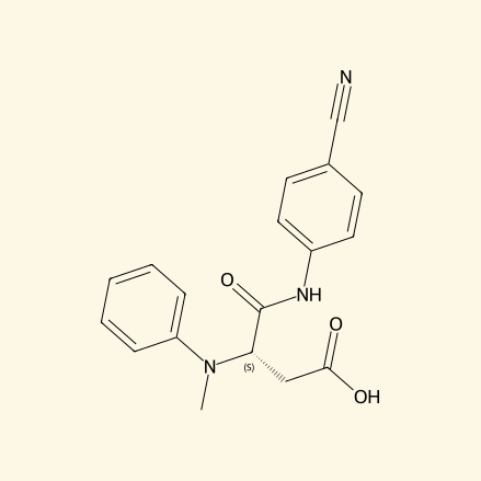 CN(c1ccccc1)[C@@H](CC(=O)O)C(=O)Nc1ccc(C#N)cc1